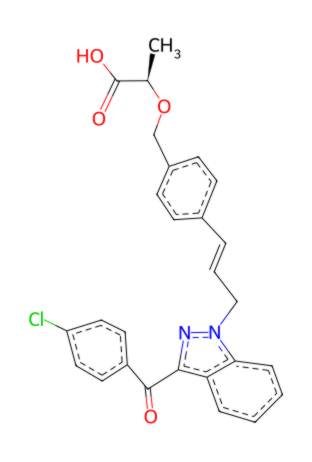 C[C@@H](OCc1ccc(/C=C/Cn2nc(C(=O)c3ccc(Cl)cc3)c3ccccc32)cc1)C(=O)O